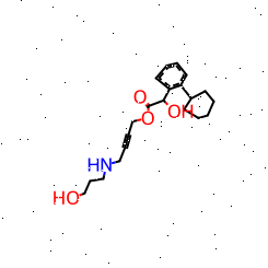 O=C(OCC#CCNCCCO)C(O)c1ccccc1C1CCCCC1